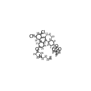 O=S(=O)(Oc1ccc2c(c1)CCCC(c1ccc(Cl)cc1Cl)=C2c1ccc(OC2CCN(CCCF)C2)cc1)C(F)(F)F